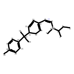 CCC(C)N(C)/C=C\C1=CCC(C(C)(C)c2ccc(C)cc2)C=C1